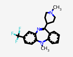 CN1CCC(C2=Nc3cc(C(F)(F)F)ccc3N(C)c3ccccc32)CC1